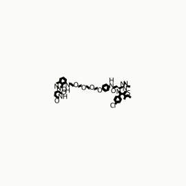 Cc1sc2c(c1C)C(c1ccc(Cl)cc1)=N[C@@H](CC(=O)Nc1ccc(OCCOCCOCCOCCNc3cccc4cnn(C5CCC(=O)NC5=O)c(=O)c34)cc1)c1nnc(C)n1-2